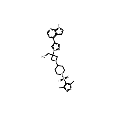 Cc1noc(C)c1S(=O)(=O)N1CCC(N2CC(CC#N)(n3cc(-c4ncnc5[nH]ccc45)cn3)C2)CC1